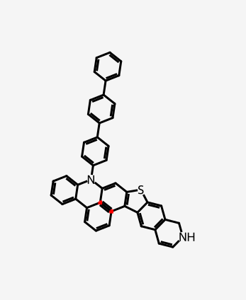 C1=Cc2cc3c(cc2CN1)sc1cc(N(c2ccc(-c4ccc(-c5ccccc5)cc4)cc2)c2ccccc2-c2ccccc2)ccc13